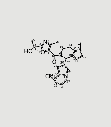 Cc1nc([C@H](C)O)oc1C(=O)N1CCc2[nH]cnc2C1c1cc2c(Cl)cccn2n1